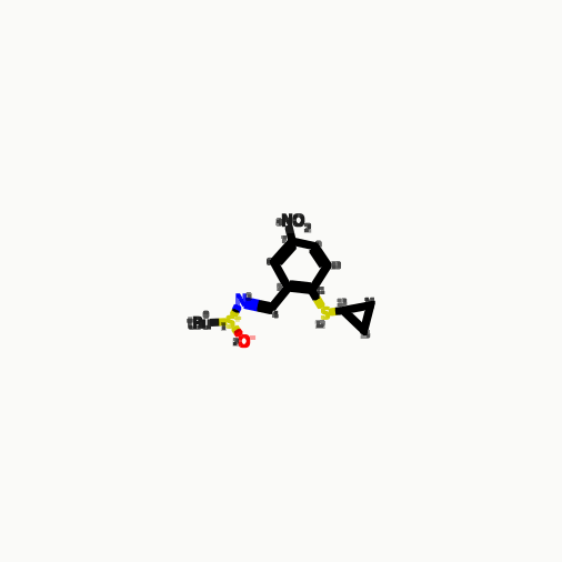 CC(C)(C)[S+]([O-])N=Cc1cc([N+](=O)[O-])ccc1SC1CC1